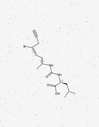 C#CC/C(Br)=C\C=C(/C)NC(=O)N[C@@H](CC(C)C)C(=O)O